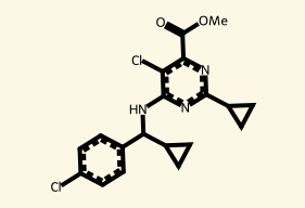 COC(=O)c1nc(C2CC2)nc(NC(c2ccc(Cl)cc2)C2CC2)c1Cl